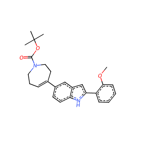 COc1ccccc1-c1cc2cc(C3=CCCN(C(=O)OC(C)(C)C)CC3)ccc2[nH]1